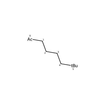 [CH2]C(=O)CCCCC(C)(C)C